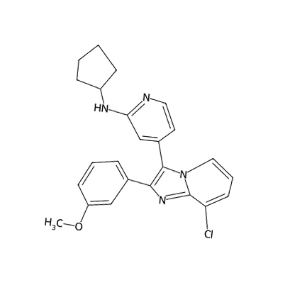 COc1cccc(-c2nc3c(Cl)cccn3c2-c2ccnc(NC3CCCC3)c2)c1